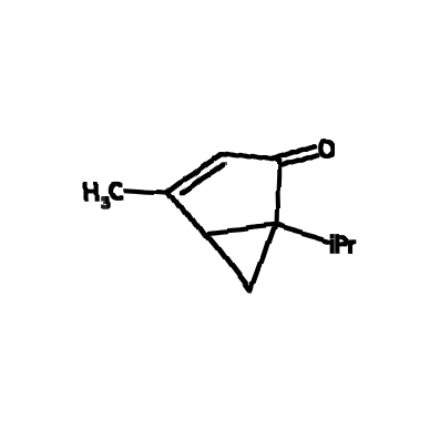 CC1=CC(=O)C2(C(C)C)CC12